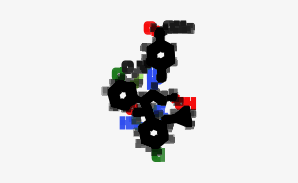 COC(=O)c1ccc(CN[C@@H]2[C@H](CO)N(CC3CC3)[C@@]3(C(=O)Nc4cc(Cl)ccc43)[C@H]2c2cccc(Cl)c2F)c([N+](=O)[O-])c1